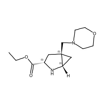 CCOC(=O)[C@@H]1C[C@]2(CN3CCOCC3)C[C@@H]2N1